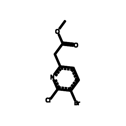 COC(=O)Cc1ccc(Br)c(Cl)n1